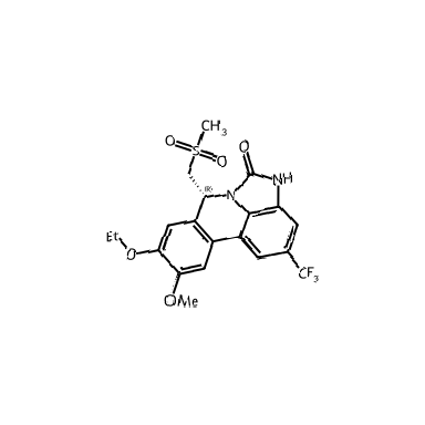 CCOc1cc2c(cc1OC)-c1cc(C(F)(F)F)cc3[nH]c(=O)n(c13)[C@H]2CS(C)(=O)=O